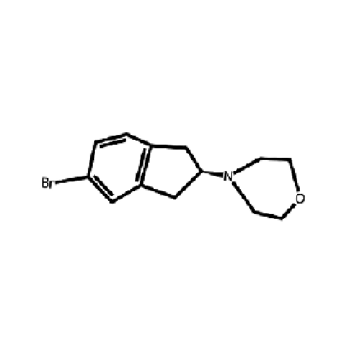 Brc1ccc2c(c1)C[C@H](N1CCOCC1)C2